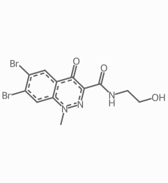 Cn1nc(C(=O)NCCO)c(=O)c2cc(Br)c(Br)cc21